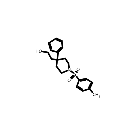 Cc1ccc(S(=O)(=O)N2CCC(CCO)(c3ccccc3)CC2)cc1